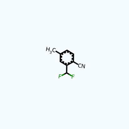 Cc1ccc(C#N)c(C(F)F)c1